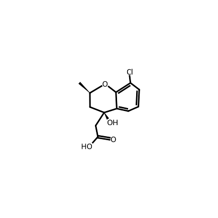 C[C@@H]1C[C@@](O)(CC(=O)O)c2cccc(Cl)c2O1